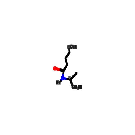 CCCCCCCCCCCC(=O)N(CC)[C@@H](C)C(=O)O